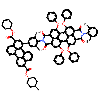 CC(C)c1cccc(C(C)C)c1N1C(=O)c2cc(Oc3ccccc3)c3c4c(Oc5ccccc5)cc5c6c(cc(Oc7ccccc7)c(c7c(Oc8ccccc8)cc(c2c37)C1=O)c64)C(=O)N(c1c(C(C)C)cc(-c2cc(C(=O)OC3CCCCC3)c3cccc4c6ccc(C(=O)O[C@H]7CC[C@H](C)CC7)c7cccc(c2c34)c76)cc1C(C)C)C5=O